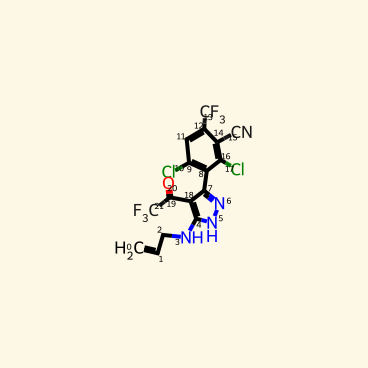 C=CCNc1[nH]nc(-c2c(Cl)cc(C(F)(F)F)c(C#N)c2Cl)c1C(=O)C(F)(F)F